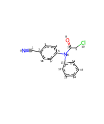 N#Cc1ccc(N(C(=O)CCl)c2ccccc2)cc1